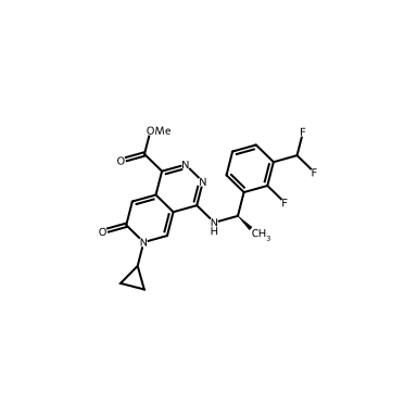 COC(=O)c1nnc(N[C@H](C)c2cccc(C(F)F)c2F)c2cn(C3CC3)c(=O)cc12